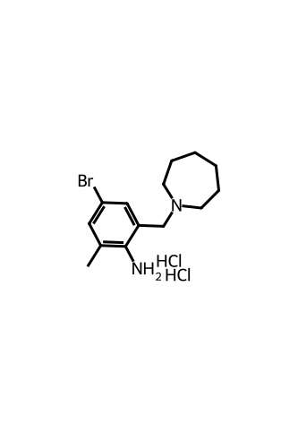 Cc1cc(Br)cc(CN2CCCCCC2)c1N.Cl.Cl